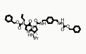 C=CCN(C(=O)OCc1ccccc1)c1cnc2n(c1=O)[C@H](C(=O)NCc1ccc(C=NNC(=O)OCc3ccccc3)cc1)C[C@@]2(C)NC(C)C